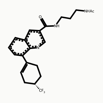 CC(=O)NCCCNC(=O)c1cnc2c(C3=CC[C@@H](C(F)(F)F)CC3)cccc2c1